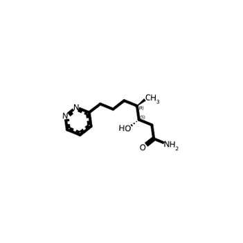 C[C@H](CCCc1cccnn1)[C@@H](O)CC(N)=O